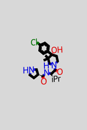 CC(C)[C@@H](NC(=O)[C@@H]1CCNC1)C(=O)N1CC[C@](O)(c2ccc(Cl)cc2)C(C)(C)C1